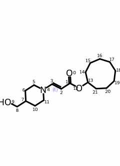 O=C(/C=C/N1CCC(CO)CC1)OC1CCCCCCCC1